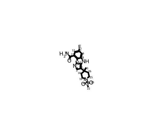 CC1(c2cnn3c2[nH]c2cc(F)cc(C(N)=O)c23)CCN(S(C)(=O)=O)CC1